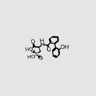 O=C(N[C@@H](CS(=O)(=O)O)C(=O)O)c1ccccc1-c1ccccc1O